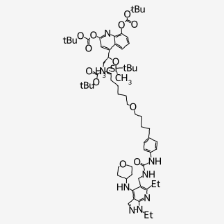 CCc1nc2c(cnn2CC)c(NC2CCOCC2)c1CNC(=O)Nc1ccc(CCCCOCCCCCCN(C[C@H](O[Si](C)(C)C(C)(C)C)c2cc(OC(=O)OC(C)(C)C)nc3c(OC(=O)OC(C)(C)C)cccc23)C(=O)OC(C)(C)C)cc1